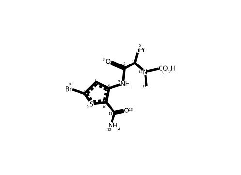 CC(C)C(C(=O)Nc1cc(Br)sc1C(N)=O)N(C)C(=O)O